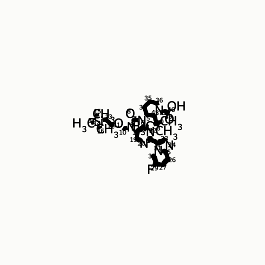 CC(C)(C)C1C(n2c(=O)n(COCC[Si](C)(C)C)c3cnc(-c4cnc5ccc(F)cn45)nc32)CCCN1C(=O)O